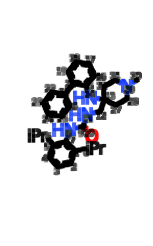 CC(C)c1cccc(C(C)C)c1NC(=O)NCC1(Nc2ccccc2-c2ccccc2)CCN(C)CC1